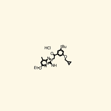 CCOc1cc(C)c2nn(CC(=O)c3cc(OCC4CC4)cc(C(C)(C)C)c3)c(=N)n2n1.Cl